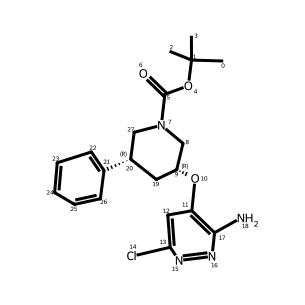 CC(C)(C)OC(=O)N1C[C@H](Oc2cc(Cl)nnc2N)C[C@H](c2ccccc2)C1